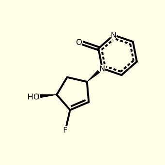 O=c1ncccn1[C@H]1C=C(F)[C@@H](O)C1